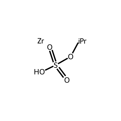 CC(C)OS(=O)(=O)O.[Zr]